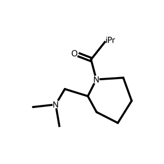 CC(C)C(=O)N1CCCCC1CN(C)C